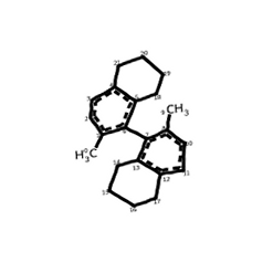 Cc1ccc2c(c1-c1c(C)ccc3c1CCCC3)CCCC2